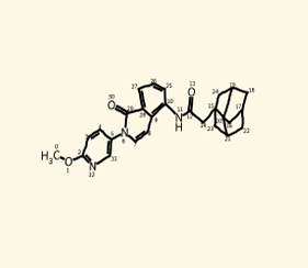 COc1ccc(-n2ccc3c(NC(=O)CC45CC6CC(CC(C6)C4)C5)cccc3c2=O)cn1